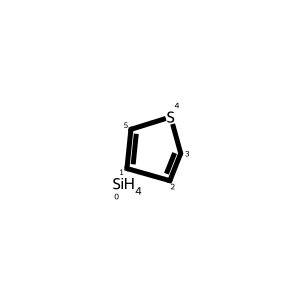 [SiH4].c1ccsc1